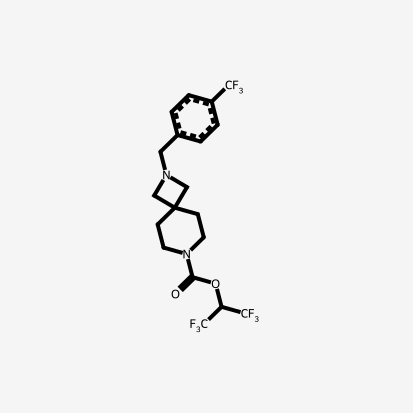 O=C(OC(C(F)(F)F)C(F)(F)F)N1CCC2(CC1)CN(Cc1ccc(C(F)(F)F)cc1)C2